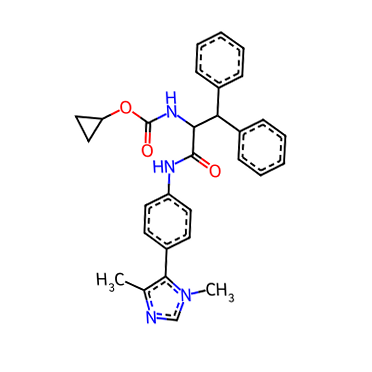 Cc1ncn(C)c1-c1ccc(NC(=O)C(NC(=O)OC2CC2)C(c2ccccc2)c2ccccc2)cc1